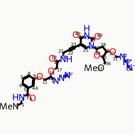 CNCNC(=O)c1cccc(OCC(N=[N+]=[N-])OCC(=O)NCC#Cc2cn(C3CC(OCN=[N+]=[N-])C(COC)O3)c(=O)[nH]c2=O)c1